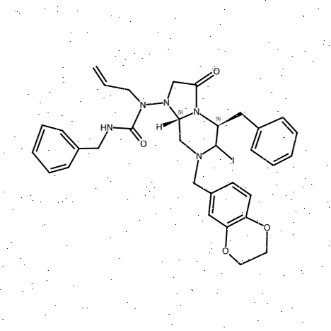 C=CCN(C(=O)NCc1ccccc1)N1CC(=O)N2[C@@H](Cc3ccccc3)C(I)N(Cc3ccc4c(c3)OCCO4)C[C@@H]21